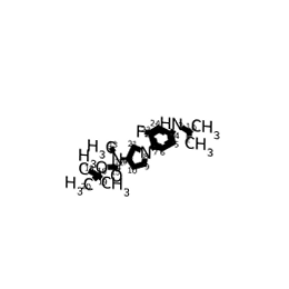 CC(C)Nc1ccc(N2CC[C@@H](N(C)C(=O)OC(C)(C)C)C2)c(F)c1